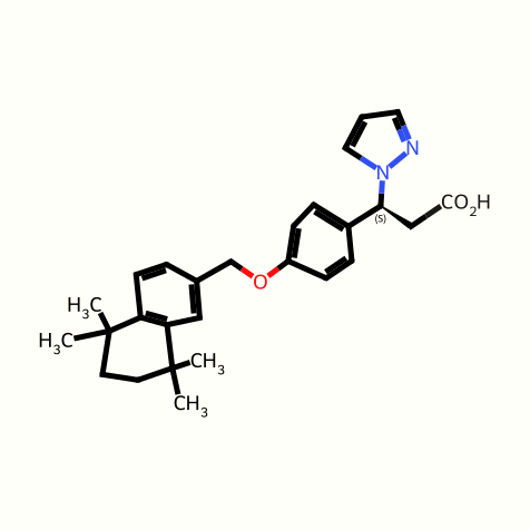 CC1(C)CCC(C)(C)c2cc(COc3ccc([C@H](CC(=O)O)n4cccn4)cc3)ccc21